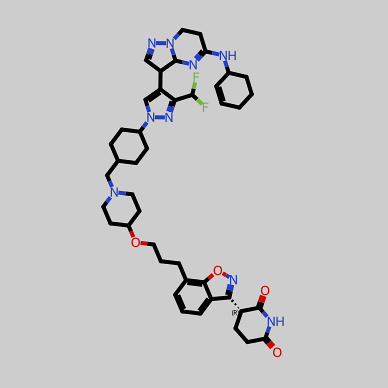 O=C1CC[C@H](c2noc3c(CCCOC4CCN(CC5CCC(n6cc(C7C=NN8CCC(NC9C=CCCC9)=NC78)c(C(F)F)n6)CC5)CC4)cccc23)C(=O)N1